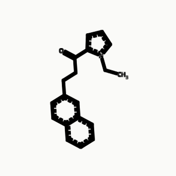 CCn1cccc1C(=O)CCc1ccc2ccccc2c1